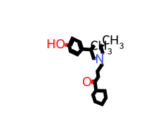 CCCN(CCCC(=O)C1CCCCC1)CC(C)c1ccc(O)cc1